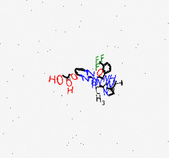 CC1=C2C(=N[C@H]3CCN2C3)NC(C(=O)Nc2nccc(OC[C@@H](O)CO)n2)(c2cccc(C(F)(F)F)c2)N1